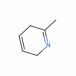 CC1=NCC=CC1